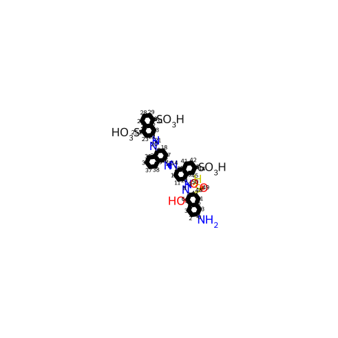 Nc1ccc2c(O)c(N=Nc3ccc(N=Nc4ccc(N=Nc5cc(S(=O)(=O)O)c6cccc(S(=O)(=O)O)c6c5)c5ccccc45)c4ccc(S(=O)(=O)O)cc34)c([SH](=O)=O)cc2c1